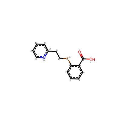 O=C(O)c1ccccc1SCCc1ccccn1